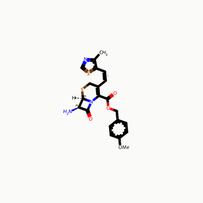 COc1ccc(COC(=O)C2=C(/C=C\c3scnc3C)CS[C@@H]3[C@H](N)C(=O)N23)cc1